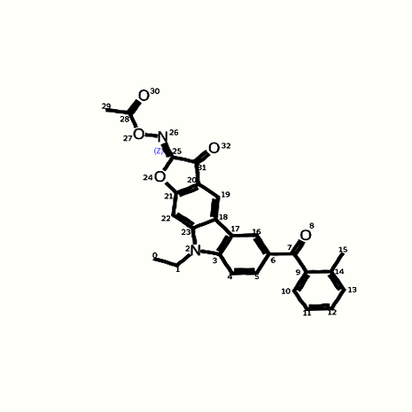 CCn1c2ccc(C(=O)c3ccccc3C)cc2c2cc3c(cc21)O/C(=N\OC(C)=O)C3=O